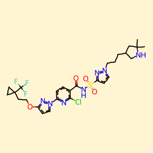 CC1(C)CC(CCCn2ccc(S(=O)(=O)NC(=O)c3ccc(-n4ccc(OCCC5(C(F)(F)F)CC5)n4)nc3Cl)n2)CN1